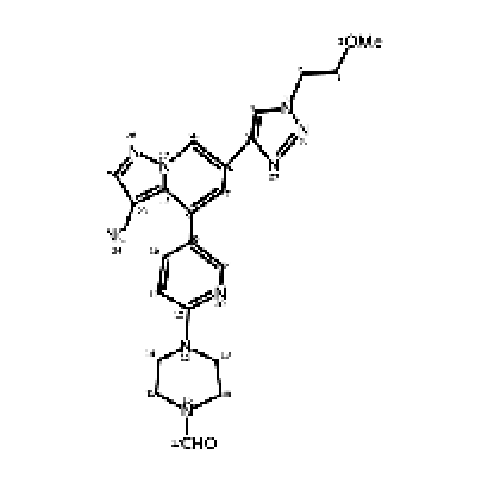 COCCn1cc(-c2cc(-c3ccc(N4CCN(C=O)CC4)nc3)c3c(C#N)cnn3c2)nn1